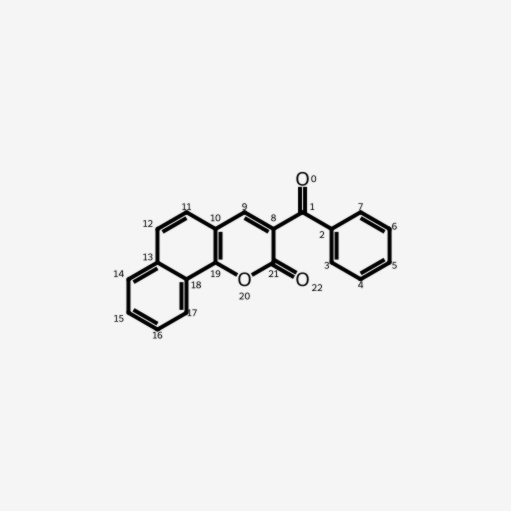 O=C(c1ccccc1)c1cc2ccc3ccccc3c2oc1=O